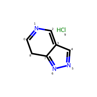 C1=NC=C2C=NN=C2C1.Cl